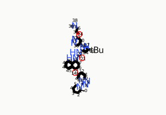 C[C@H]1CCCCN1c1nnc2ccc(O[C@@H]3CC[C@H](NC(=O)Nc4cc(C(C)(C)C)nn4-c4cnnc(OCCN(C)C)c4)c4ccccc43)cn12